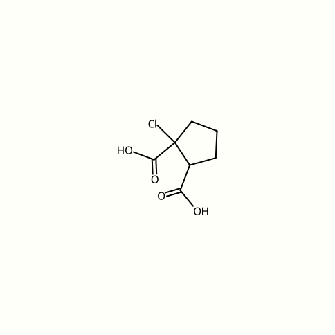 O=C(O)C1CCCC1(Cl)C(=O)O